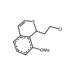 COc1cccc2c1C(CCCl)SC=C2